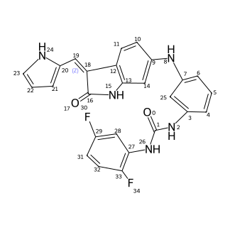 O=C(Nc1cccc(Nc2ccc3c(c2)NC(=O)/C3=C\c2ccc[nH]2)c1)Nc1cc(F)ccc1F